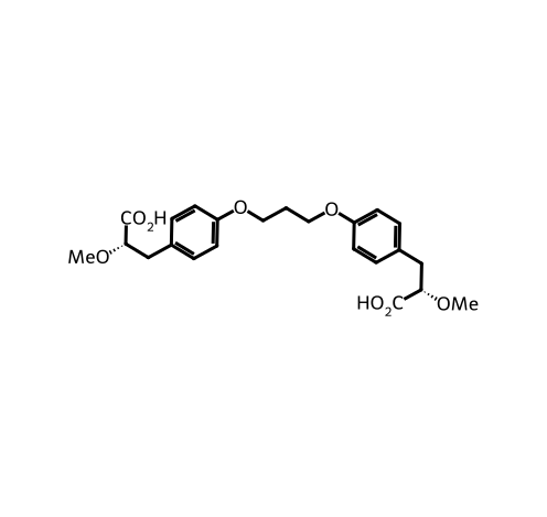 CO[C@@H](Cc1ccc(OCCCOc2ccc(C[C@H](OC)C(=O)O)cc2)cc1)C(=O)O